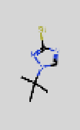 CC(C)(C)n1cnc(S)n1